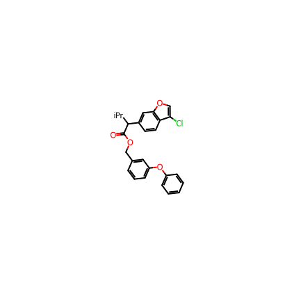 CC(C)C(C(=O)OCc1cccc(Oc2ccccc2)c1)c1ccc2c(Cl)coc2c1